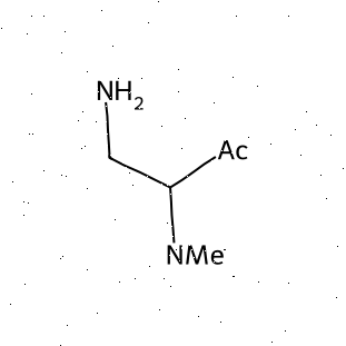 CNC(CN)C(C)=O